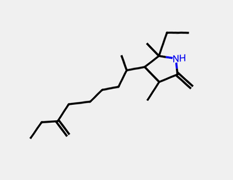 C=C(CC)CCCCC(C)C1C(C)C(=C)NC1(C)CC